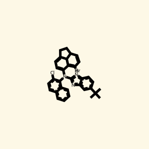 CC(C)(C)c1ccc2[nH]c(N(C3=CC=C4CCC5C=CC(Br)=C3C45)c3c(Cl)ccc4ccccc34)nc2c1